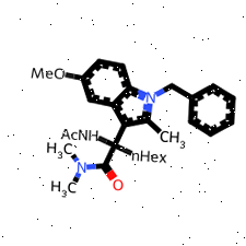 CCCCCCC(NC(C)=O)(C(=O)N(C)C)c1c(C)n(Cc2ccccc2)c2ccc(OC)cc12